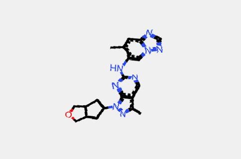 Cc1cc2ncnn2cc1Nc1ncc2c(C)nn(C3CC4COCC4C3)c2n1